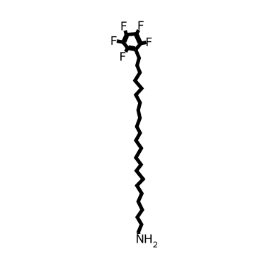 NCCCCCCCCCCCCCCCCCCCCCCCCc1c(F)c(F)c(F)c(F)c1F